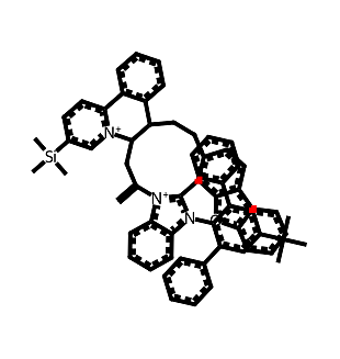 C=C1CC2C(CCc3ccc4c(oc5ccccc54)c3-c3n(-c4c(-c5ccccc5)cc(C(C)(C)C)cc4-c4ccccc4)c4ccccc4[n+]31)c1ccccc1-c1ccc([Si](C)(C)C)c[n+]12